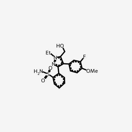 CCn1nc(-c2ccccc2S(N)(=O)=O)c(-c2ccc(OC)c(F)c2)c1CO